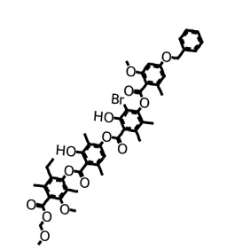 CCc1c(C)c(C(=O)OCOC)c(OC)c(C)c1OC(=O)c1c(C)cc(OC(=O)c2c(C)c(C)c(OC(=O)c3c(C)cc(OCc4ccccc4)cc3OC)c(Br)c2O)c(C)c1O